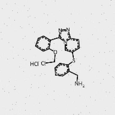 Cl.NCc1ccccc1Sc1ccc2nnc(-c3ccccc3OCCl)n2c1